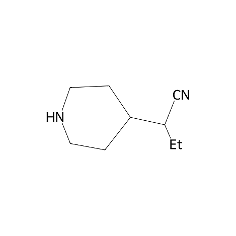 CCC(C#N)C1CCNCC1